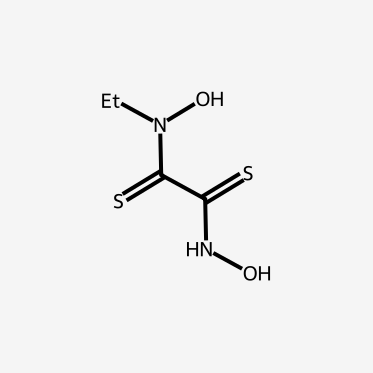 CCN(O)C(=S)C(=S)NO